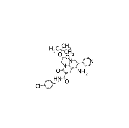 CC(C)(C)OC(=O)Cn1c(=O)c(C(=O)NCc2ccc(Cl)cc2)cc2c(N)c(-c3ccncc3)cnc21